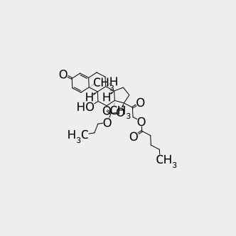 CCCCC(=O)OCC(=O)[C@@]1(OC(=O)OCCC)CC[C@H]2[C@@H]3CCC4=CC(=O)C=C[C@]4(C)[C@H]3C(O)C[C@@]21C